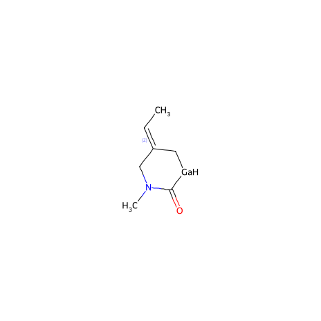 C/C=C1\[CH2][GaH][C](=O)N(C)C1